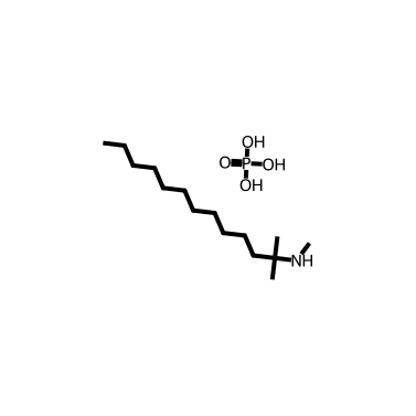 CCCCCCCCCCCC(C)(C)NC.O=P(O)(O)O